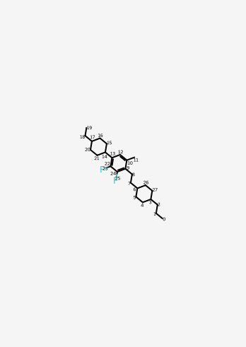 CCCC1CCC(CCc2c(C)cc(C3CCC(CC)CC3)c(F)c2F)CC1